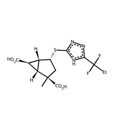 CCC(F)(F)c1nnc(S[C@@H]2C[C@@](C)(C(=O)O)[C@@H]3[C@@H](C(=O)O)[C@@H]32)[nH]1